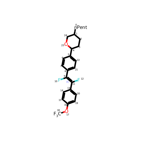 CCCCCC1CCC(c2ccc(/C(F)=C(\F)c3ccc(OC(F)(F)F)cc3)cc2)OC1